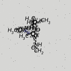 C=CC(=O)NCCCn1ccc2c(C(=O)NCc3c(CCC)cc(C)[nH]c3=O)cc(/C(C)=C/C=C(\N=C)N3CCN(C)CC3)cc21